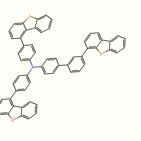 c1cc(-c2ccc(N(c3ccc(-c4cccc5oc6ccccc6c45)cc3)c3ccc(-c4cccc5sc6ccccc6c45)cc3)cc2)cc(-c2cccc3c2sc2ccccc23)c1